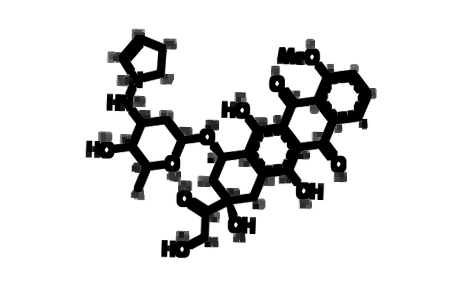 COc1cccc2c1C(=O)c1c(O)c3c(c(O)c1C2=O)C[C@](O)(C(=O)CO)C[C@H]3OC1CC(NN2C=CCC2)C(O)C(C)O1